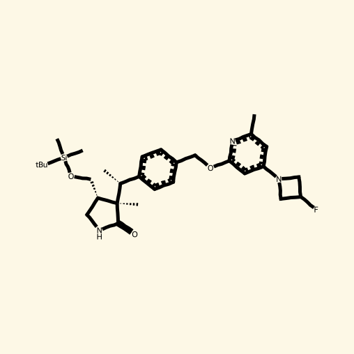 Cc1cc(N2CC(F)C2)cc(OCc2ccc([C@@H](C)[C@@]3(C)C(=O)NC[C@@H]3CO[Si](C)(C)C(C)(C)C)cc2)n1